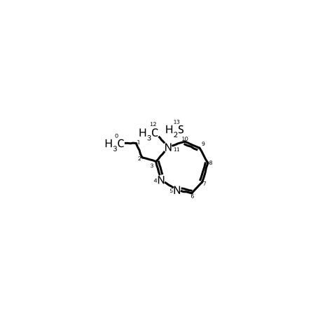 CCCc1nncccccn1C.S